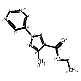 CCOC(=O)c1cn(-c2cncnc2)nc1C